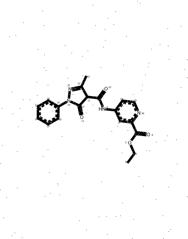 CCOC(=O)c1cc(NC(=O)C2C(=O)N(c3ccccc3)N=C2C)ccn1